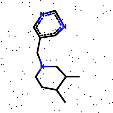 CC1CCN(Cc2cncnc2)CC1C